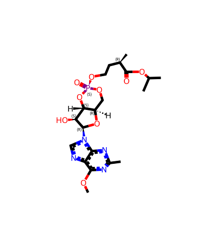 COc1nc(C)nc2c1ncn2[C@@H]1O[C@@H]2CO[P@](=O)(OCC[C@@H](C)C(=O)OC(C)C)O[C@H]2[C@@H]1O